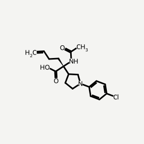 C=CCC[C@](NC(C)=O)(C(=O)O)C1CCN(c2ccc(Cl)cc2)C1